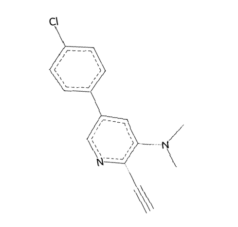 C#Cc1ncc(-c2ccc(Cl)cc2)cc1N(C)C